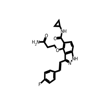 NC(=O)CCOc1c(C(=O)NC2CC2)ccc2[nH]nc(/C=C/c3ccc(F)cc3)c12